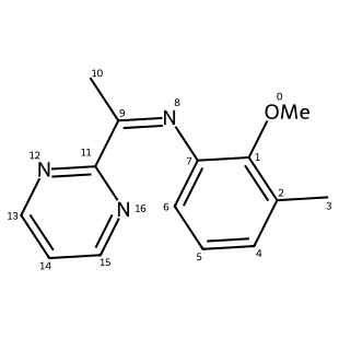 COc1c(C)cccc1N=C(C)c1ncccn1